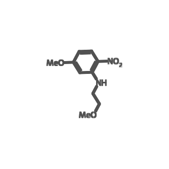 COCCNc1cc(OC)ccc1[N+](=O)[O-]